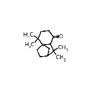 CC1(C)C2CCC3(C2)C1C(=O)CCC3(C)C